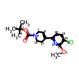 COc1nc(C2=CCN(C(=O)OC(C)(C)C)CC2)ccc1Cl